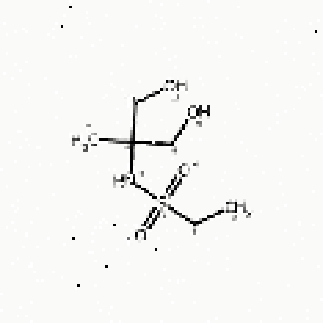 CCS(=O)(=O)NC(C)(CO)CO